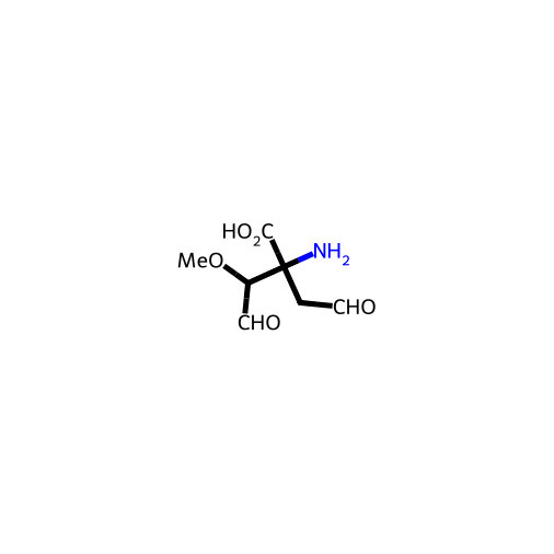 COC(C=O)C(N)(CC=O)C(=O)O